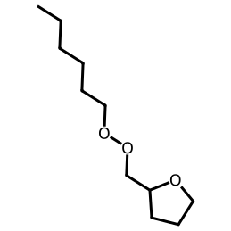 CCCCCCOOCC1CCCO1